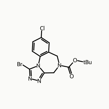 CC(C)(C)OC(=O)N1Cc2cc(Cl)ccc2-n2c(Br)nnc2C1